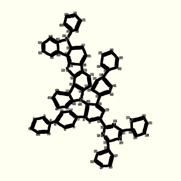 c1ccc(-c2ccc(-c3cc(-c4nc(-c5ccccc5)nc(-c5ccccn5)n4)cc(-c4ccc(-c5ccccc5)cc4)c3-n3c4ccccc4c4c5sc6c(ccc7c6c6ccccc6n7-c6ccccc6)c5ccc43)cc2)cc1